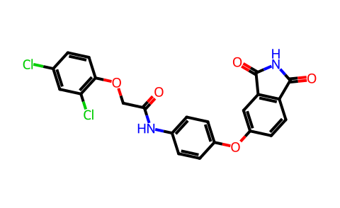 O=C(COc1ccc(Cl)cc1Cl)Nc1ccc(Oc2ccc3c(c2)C(=O)NC3=O)cc1